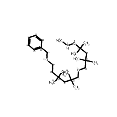 CPOC(C)(C)CC(C)(C)COCC(C)(C)CC(C)(C)CCOCc1ccccc1